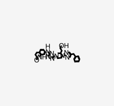 O=C1CCc2ccc(Nc3ncnc(N4CCN(c5ncc(Cc6ccccc6)cn5)C(CCO)C4)n3)cc2N1